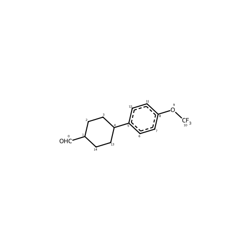 O=CC1CCC(c2ccc(OC(F)(F)F)cc2)CC1